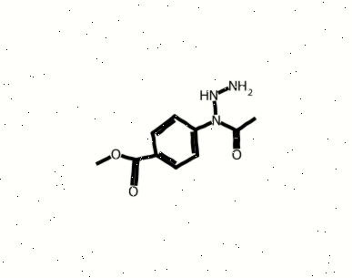 COC(=O)c1ccc(N(NN)C(C)=O)cc1